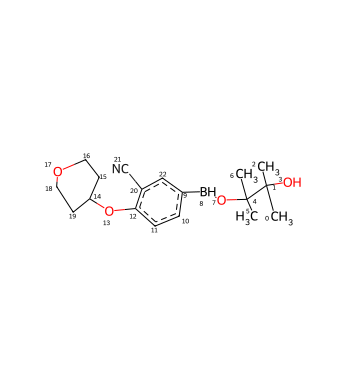 CC(C)(O)C(C)(C)OBc1ccc(OC2CCOCC2)c(C#N)c1